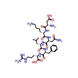 CC(C)C[C@H](NC(=O)[C@H](CC(N)=O)NC(=O)[C@H](CCCCN)NC(=O)[C@@H](N)CC(=O)O)C(=O)N[C@@H](Cc1ccccc1)C(=O)N[C@@H](CCCNC(=N)N)C(=O)O